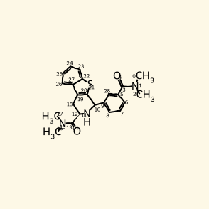 CN(C)C(=O)c1cccc(C2N[C@@H](C(=O)N(C)C)Cc3c2sc2ccccc32)c1